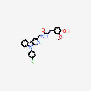 COc1cc(/C=C/C(=O)NCc2cc3c4ccccc4n(-c4ccc(Cl)cc4)c3cn2)ccc1O